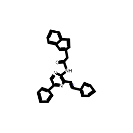 O=C(Cc1ccc2ccccc2c1)Nc1ncc(-c2ccccc2)nc1/C=C/c1ccccc1